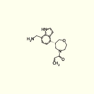 C=CC(=O)N1CCOC[C@@H](c2ccc(CN)c3[nH]ccc23)C1